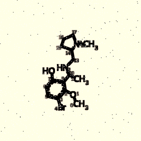 COc1c(Br)ccc(O)c1C(C)NCC1CCCN1C